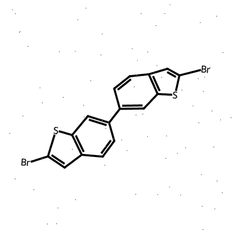 Brc1cc2ccc(-c3ccc4cc(Br)sc4c3)cc2s1